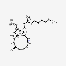 CCCCCCCC(C)CC[C@@H]1[C@H]2C/C=C\CCCC(=O)OC[C@H]2C[C@H]1OPI